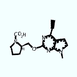 C#Cc1nc(OC[C@H]2CCCN2C(=O)O)nc2c1ccn2C